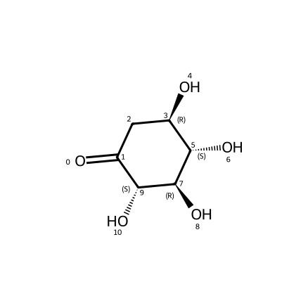 O=C1C[C@@H](O)[C@H](O)[C@@H](O)[C@@H]1O